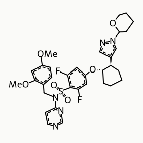 COc1ccc(CN(c2ccncn2)S(=O)(=O)c2c(F)cc(O[C@H]3CCCC[C@@H]3c3cnn(C4CCCCO4)c3)cc2F)c(OC)c1